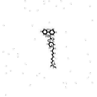 CC[N+](C)(C)CCCCCCCCN1CCC(OC(=O)Nc2ccccc2-c2ccccc2)CC1